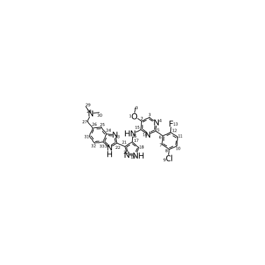 COc1cnc(-c2cc(Cl)ccc2F)nc1Nc1c[nH]nc1-c1nc2cc(CN(C)C)ccc2[nH]1